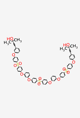 CC(C)(O)C#Cc1ccc(Oc2ccc(S(=O)(=O)c3ccc(Oc4cccc(Oc5ccc(S(=O)(=O)c6ccc(Oc7cccc(Oc8ccc(S(=O)(=O)c9ccc(Oc%10cccc(C#CC(C)(C)O)c%10)cc9)cc8)c7)cc6)cc5)c4)cc3)cc2)cc1